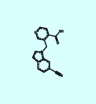 N#Cc1ccc2ccn(Cc3cnccc3C(=O)O)c2c1